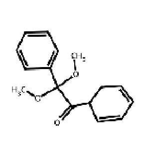 COC(OC)(C(=O)C1C=CC=CC1)c1ccccc1